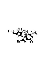 Nc1nc(=O)c2nc(Br)n(C3OC(CO)C(O)C3O)c2[nH]1